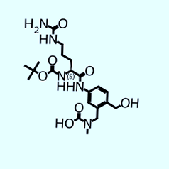 CN(Cc1cc(NC(=O)[C@H](CCCNC(N)=O)NC(=O)OC(C)(C)C)ccc1CO)C(=O)O